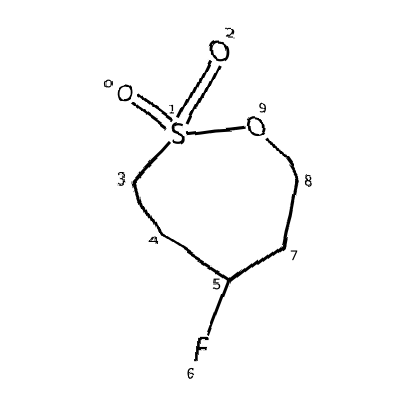 O=S1(=O)CCC(F)CCO1